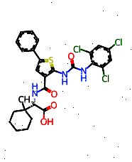 CC1([C@H](NC(=O)c2cc(-c3ccccc3)sc2NC(=O)Nc2c(Cl)cc(Cl)cc2Cl)C(=O)O)CCCCC1